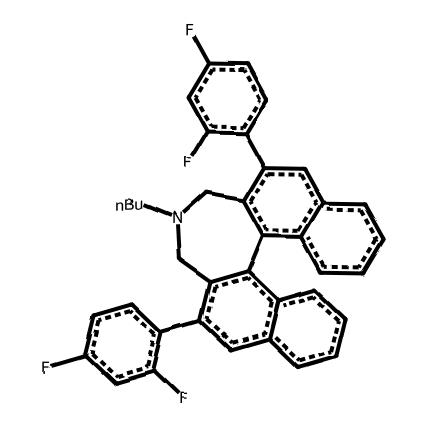 CCCCN1Cc2c(-c3ccc(F)cc3F)cc3ccccc3c2-c2c(c(-c3ccc(F)cc3F)cc3ccccc23)C1